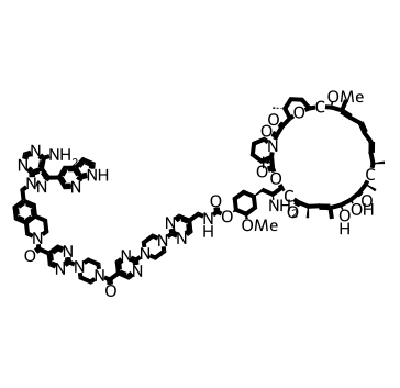 CO[C@H]1CC2CC[C@@H](C)C(O2)C(=O)C(=O)N2CCCC[C@H]2C(=O)O[C@H]([C@H](N)C[C@@H]2CC[C@@H](OC(=O)NCc3cnc(N4CCN(c5ncc(C(=O)N6CCN(c7ncc(C(=O)N8CCc9cc(Cn%10nc(-c%11cnc%12[nH]ccc%12c%11)c%11c(N)ncnc%11%10)ccc9C8)cn7)CC6)cn5)CC4)nc3)[C@H](OC)C2)CC(=O)[C@H](C)/C=C(\C)[C@@H](O)[C@@H](O)C(=O)[C@H](C)C[C@H](C)/C=C/C=C/C=C/1C